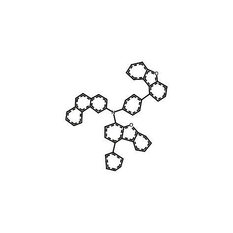 c1ccc(-c2ccc(N(c3ccc(-c4cccc5oc6ccccc6c45)cc3)c3ccc4ccc5ccccc5c4c3)c3oc4ccccc4c23)cc1